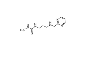 CNC(=S)NCCCNCc1ncccn1